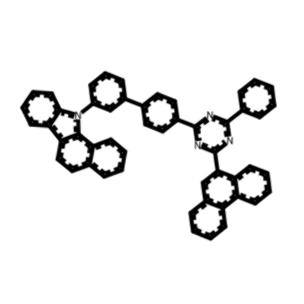 c1ccc(-c2nc(-c3ccc(-c4cccc(-n5c6ccccc6c6ccc7ccccc7c65)c4)cc3)nc(-c3cc4ccccc4c4ccccc34)n2)cc1